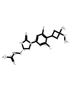 COC1(C)CC(c2c(F)cc(N3C[C@H](CNC(C)=O)OC3=O)cc2F)C1